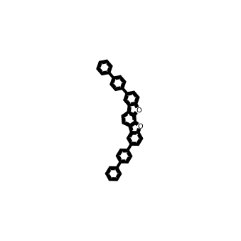 c1ccc(-c2ccc(-c3ccc4oc5c(ccc6c7cc(-c8ccc(-c9ccccc9)cc8)ccc7oc65)c4c3)cc2)cc1